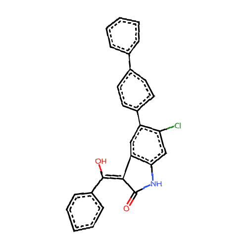 O=C1Nc2cc(Cl)c(-c3ccc(-c4ccccc4)cc3)cc2/C1=C(\O)c1ccccc1